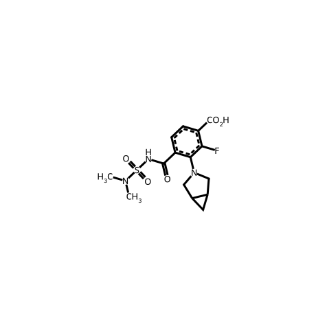 CN(C)S(=O)(=O)NC(=O)c1ccc(C(=O)O)c(F)c1N1CC2CC2C1